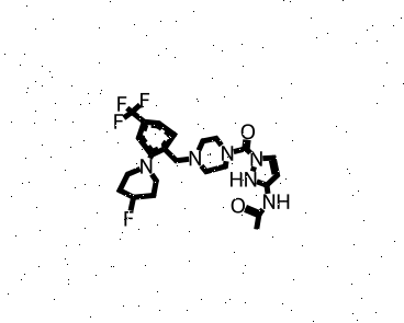 CC(=O)NC1C=CN(C(=O)N2CCN(Cc3ccc(C(F)(F)F)cc3N3CCC(F)CC3)CC2)N1